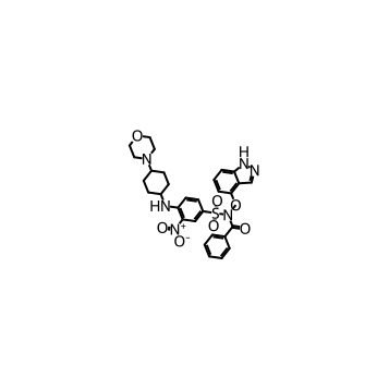 O=C(c1ccccc1)N(Oc1cccc2[nH]ncc12)S(=O)(=O)c1ccc(NC2CCC(N3CCOCC3)CC2)c([N+](=O)[O-])c1